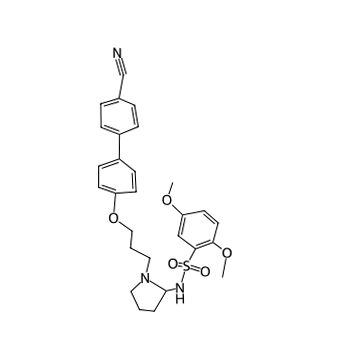 COc1ccc(OC)c(S(=O)(=O)NC2CCCN2CCCOc2ccc(-c3ccc(C#N)cc3)cc2)c1